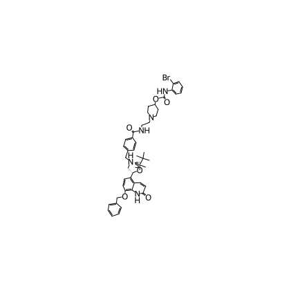 CC(C)(C)[Si](C)(C)O[C@@H](CNCc1ccc(C(=O)NCCN2CCC(OC(=O)Nc3ccccc3Br)CC2)cc1)c1ccc(OCc2ccccc2)c2[nH]c(=O)ccc12